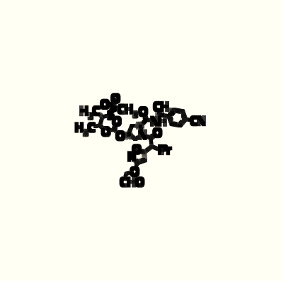 CC(C)C(C(=O)N1C[C@H](OC(=O)OC(C)C(C)SS(C)(=O)=O)C[C@H]1C(=O)N[C@@H](C)c1ccc(C#N)cc1)c1cc(OCC=O)no1